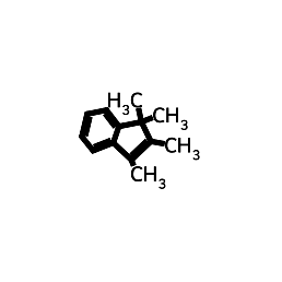 CC1=C(C)C(C)(C)c2ccccc21